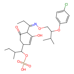 CCC(=NOCC(Oc1ccc(Cl)cc1)C(C)C)C1C(=O)CC(C(OS(=O)(=O)O)C(C)CC)C=C1O